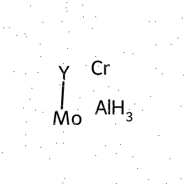 [AlH3].[Cr].[Y][Mo]